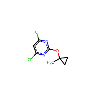 CC1(Oc2nc(Cl)cc(Cl)n2)CC1